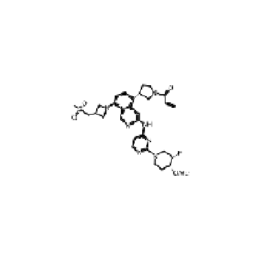 C=CC(=O)N1CC[C@@H](c2ccc(N3CC(CS(C)(=O)=O)C3)c3cnc(Nc4ccnc(N5CC[C@@H](OC)[C@@H](F)C5)n4)cc23)C1